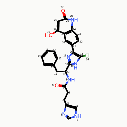 O=C(CCc1c[nH]cn1)N[C@@H](Cc1ccccc1)c1nc(-c2ccc3[nH]c(=O)cc(O)c3c2)c(Cl)[nH]1